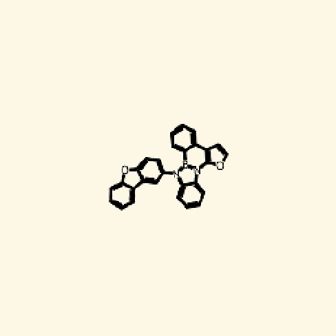 c1ccc2c(c1)B1N(c3ccc4oc5ccccc5c4c3)c3ccccc3N1c1occc1-2